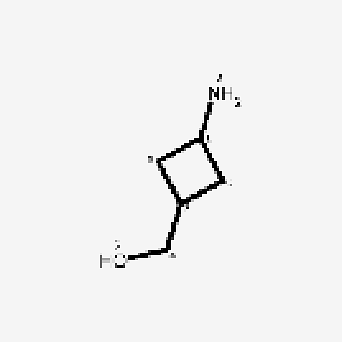 NC1CC(CO)C1